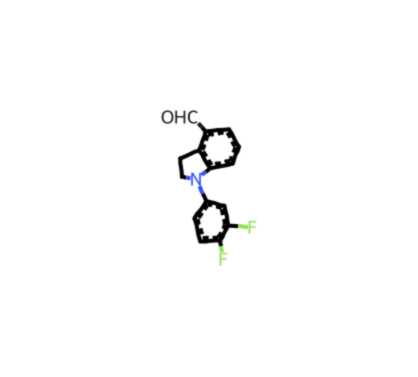 O=Cc1cccc2c1CCN2c1ccc(F)c(F)c1